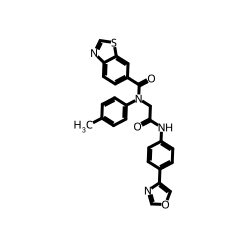 Cc1ccc(N(CC(=O)Nc2ccc(-c3cocn3)cc2)C(=O)c2ccc3ncsc3c2)cc1